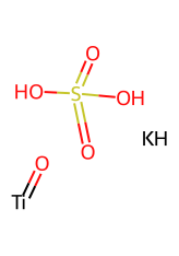 O=S(=O)(O)O.[KH].[O]=[Ti]